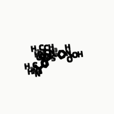 Cc1[nH]ncc1-c1ccc(-c2cnc([C@H]3CC[C@H](NC(=O)O)CC3)s2)c(S(=O)(=O)NC(C)(C)C)c1